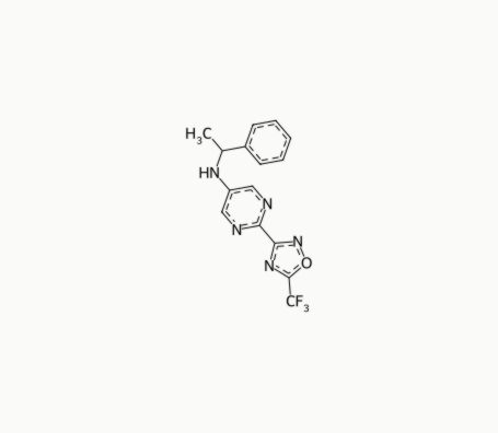 CC(Nc1cnc(-c2noc(C(F)(F)F)n2)nc1)c1ccccc1